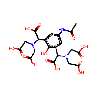 CC(=O)Nc1cc(C(C(=O)O)N(CC(=O)O)CC(=O)O)c(O)c(C(C(=O)O)N(CC(=O)O)CC(=O)O)c1